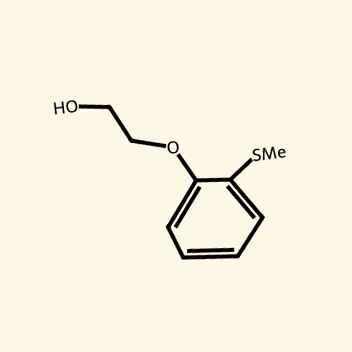 CSc1ccccc1OCCO